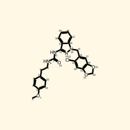 COc1ccc(CCNC(=O)Nc2nn(Cc3cc4c(cc3Cl)OCO4)c3ccccc23)cc1